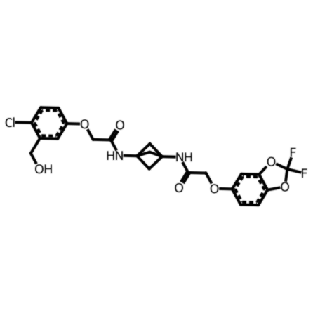 O=C(COc1ccc(Cl)c(CO)c1)NC12CC(NC(=O)COc3ccc4c(c3)OC(F)(F)O4)(C1)C2